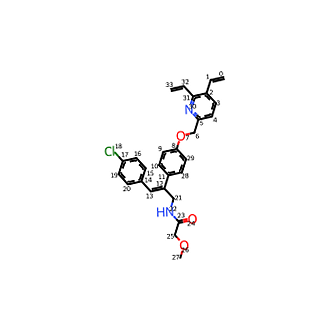 C=Cc1ccc(COc2ccc(/C(=C\c3ccc(Cl)cc3)CNC(=O)COC)cc2)nc1C=C